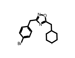 Brc1ccc(Cc2noc(CC3CC[CH]CC3)n2)cc1